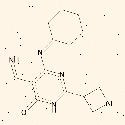 N=Cc1c(N=C2CCCCC2)nc(C2CNC2)[nH]c1=O